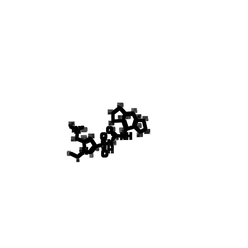 CCn1cc(S(=O)(=O)NC(=O)Nc2c3c(cc4c2CCC4)CCC3)cc1CN(C)C